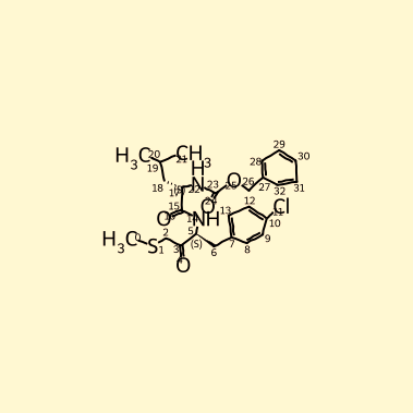 CSCC(=O)[C@H](Cc1ccc(Cl)cc1)NC(=O)[C@H](CC(C)C)NC(=O)OCc1ccccc1